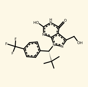 CC(C)(C)[C@H](c1ccc(C(F)(F)F)cc1)n1nc(CO)c2c(=O)[nH]c(O)nc21